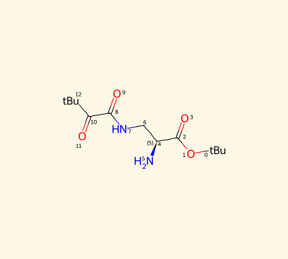 CC(C)(C)OC(=O)[C@@H](N)CNC(=O)C(=O)C(C)(C)C